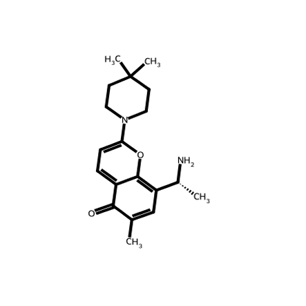 Cc1cc([C@@H](C)N)c2oc(N3CCC(C)(C)CC3)ccc-2c1=O